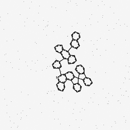 c1cc(-c2c3ccccc3c(-c3ccc4ccccc4c3)c3ccccc23)cc(-c2nc3ccccc3c3c4c(ccc23)C2(c3ccccc3-c3ccccc32)c2ccccc2-4)c1